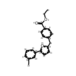 CCOC(=O)c1ccc(Cc2ccc(-c3cccc(C)c3)o2)cc1